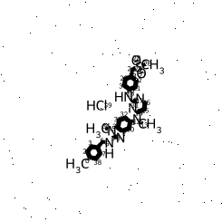 Cc1ccc(CNc2nc3cc(N(C)c4ccnc(Nc5ccc(CS(C)(=O)=O)cc5)n4)ccc3n2C)cc1.Cl